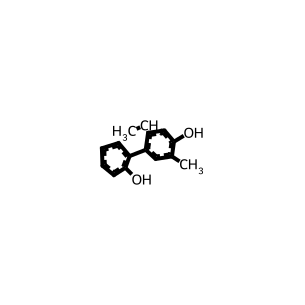 CC.Cc1cc(-c2ccccc2O)ccc1O